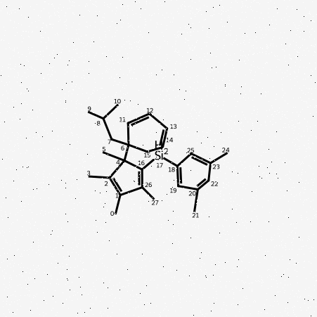 CC1=C(C)C(C)(C2(CC(C)C)C=CC=CC2)C([SiH2]c2cc(C)cc(C)c2)=C1C